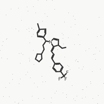 CCC1C=CN(C(CCC2CCCC2)c2ccc(C)cc2)/C1=C/C=C/c1ccc(C(F)(F)F)cc1